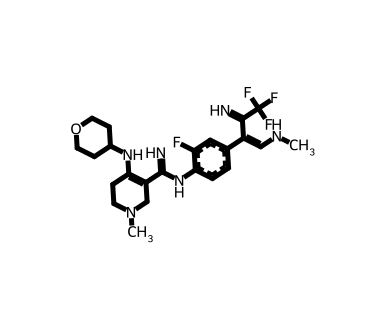 CN/C=C(\C(=N)C(F)(F)F)c1ccc(NC(=N)C2=C(NC3CCOCC3)CCN(C)C2)c(F)c1